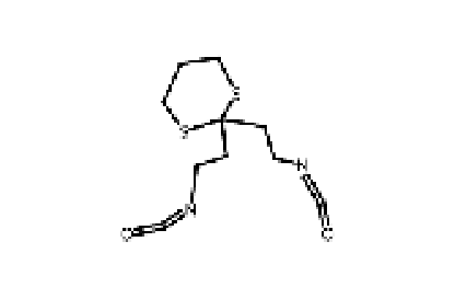 O=C=NCCC1(CCN=C=O)SCCCS1